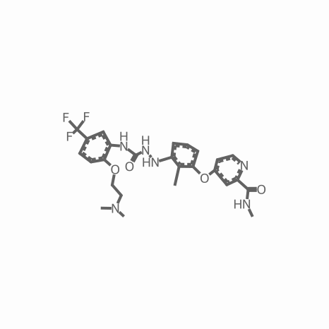 CNC(=O)c1cc(Oc2cccc(NNC(=O)Nc3cc(C(F)(F)F)ccc3OCCN(C)C)c2C)ccn1